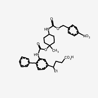 CCC(CCC(=O)O)c1ccc(-c2ccccc2)c(NC(=O)OC2(C)CCC(NC(=O)OCc3ccc([N+](=O)[O-])cc3)CC2)c1